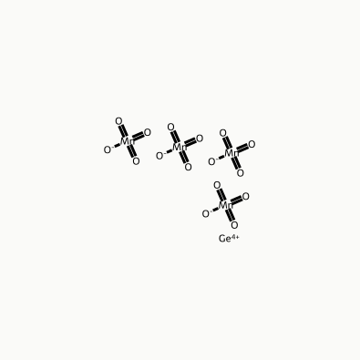 [Ge+4].[O]=[Mn](=[O])(=[O])[O-].[O]=[Mn](=[O])(=[O])[O-].[O]=[Mn](=[O])(=[O])[O-].[O]=[Mn](=[O])(=[O])[O-]